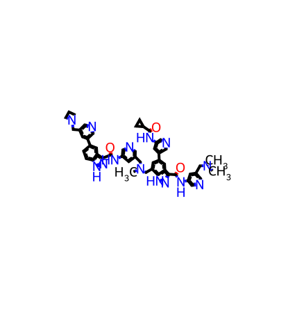 CN(C)Cc1cncc(NC(=O)c2n[nH]c3c(CN(C)Cc4cncc(NC(=O)c5n[nH]c6ccc(-c7cncc(CN8CCC8)c7)cc56)c4)cc(-c4cncc(NC(=O)C5CC5)c4)cc23)c1